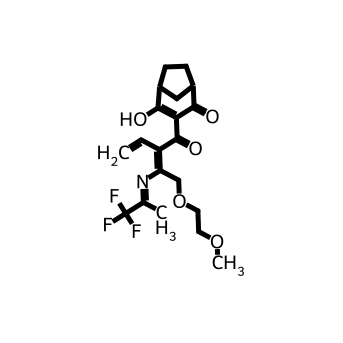 C=C/C(C(=O)C1=C(O)C2CCC(C2)C1=O)=C(COCCOC)\N=C(/C)C(F)(F)F